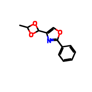 CC1OC(c2coc(-c3ccccc3)n2)O1